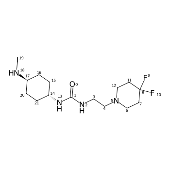 O=C(NCCN1CCC(F)(F)CC1)N[C@H]1CC[C@H](NI)CC1